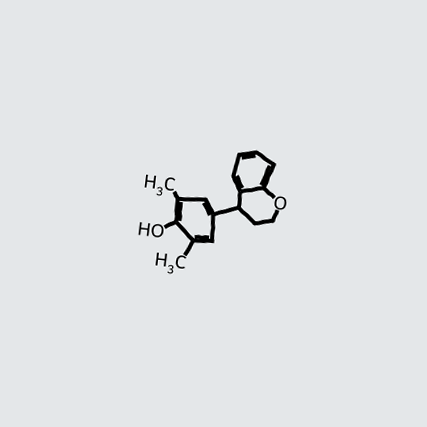 Cc1cc(C2CCOc3ccccc32)cc(C)c1O